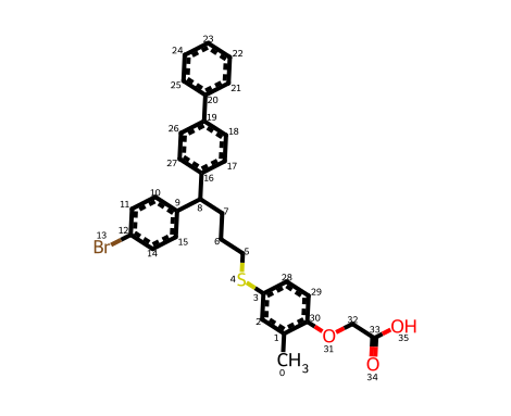 Cc1cc(SCCCC(c2ccc(Br)cc2)c2ccc(-c3ccccc3)cc2)ccc1OCC(=O)O